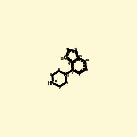 c1cc(N2CCNCC2)c2occc2c1